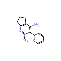 Nc1c2c(nc(C(F)(F)F)c1-c1ccccc1)CCC2